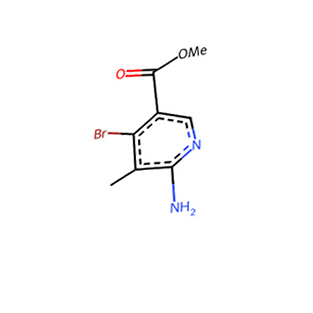 COC(=O)c1cnc(N)c(C)c1Br